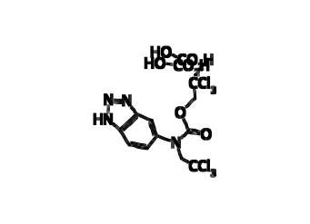 O=C(O)O.O=C(O)O.O=C(OCC(Cl)(Cl)Cl)N(CC(Cl)(Cl)Cl)c1ccc2[nH]nnc2c1